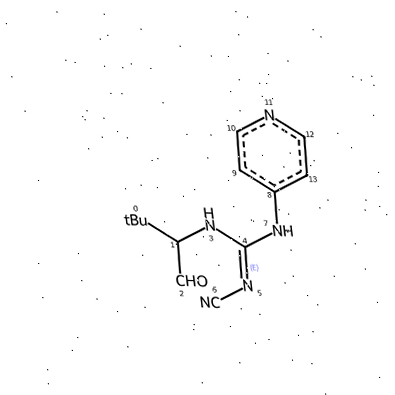 CC(C)(C)C(C=O)N/C(=N\C#N)Nc1ccncc1